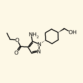 CCOC(=O)c1cnn([C@H]2CC[C@H](CO)CC2)c1N